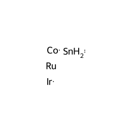 [Co].[Ir].[Ru].[SnH2]